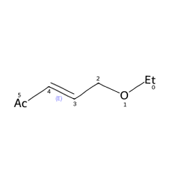 CCOC/C=C/C(C)=O